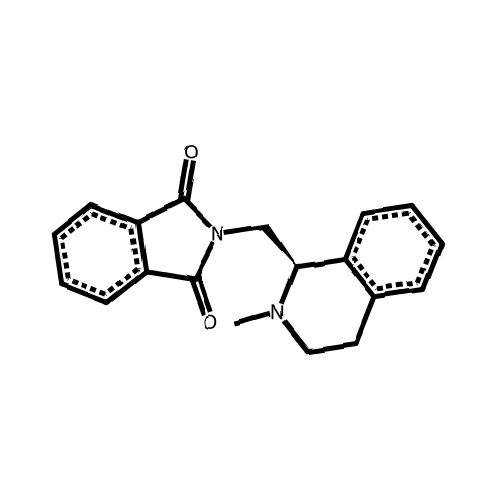 CN1CCc2ccccc2[C@@H]1CN1C(=O)c2ccccc2C1=O